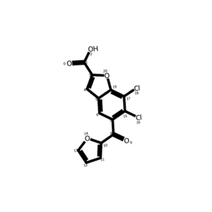 O=C(O)c1cc2cc(C(=O)c3ccco3)c(Cl)c(Cl)c2o1